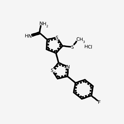 CSc1sc(C(=N)N)cc1-c1nc(-c2ccc(F)cc2)cs1.Cl